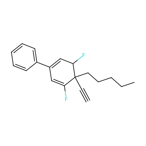 C#CC1(CCCCC)C(F)=CC(c2ccccc2)=CC1F